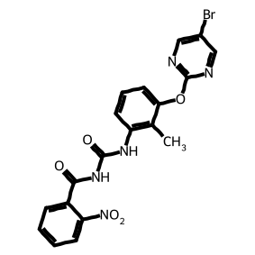 Cc1c(NC(=O)NC(=O)c2ccccc2[N+](=O)[O-])cccc1Oc1ncc(Br)cn1